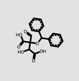 O=CC(OC(c1ccccc1)c1ccccc1)(C(=O)O)C(O)C(=O)O